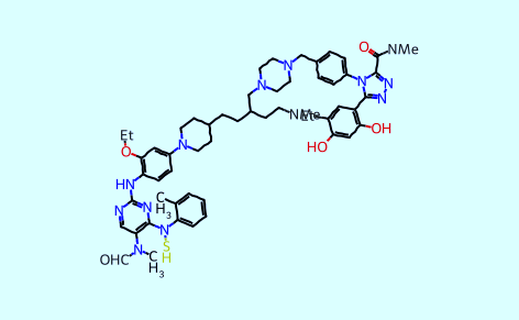 CCOc1cc(N2CCC(CCC(CCNC)CN3CCN(Cc4ccc(-n5c(C(=O)NC)nnc5-c5cc(CC)c(O)cc5O)cc4)CC3)CC2)ccc1Nc1ncc(N(C)C=O)c(N(S)c2ccccc2C)n1